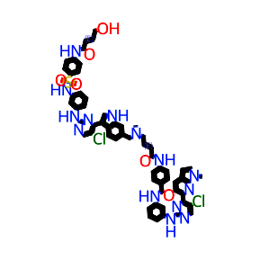 CN(C/C=C/C(=O)Nc1ccc(C(=O)Nc2cccc(Nc3ncc(Cl)c(-c4ccc5ccn(C)c5n4)n3)c2)cc1)Cc1ccc2c(-c3nc(Nc4cccc(NS(=O)(=O)c5ccc(NC(=O)/C=C/CO)cc5)c4)ncc3Cl)c[nH]c2c1